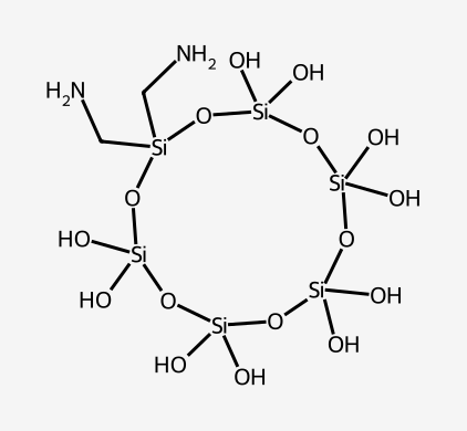 NC[Si]1(CN)O[Si](O)(O)O[Si](O)(O)O[Si](O)(O)O[Si](O)(O)O[Si](O)(O)O1